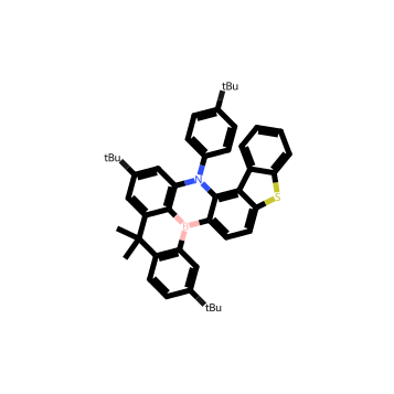 CC(C)(C)c1ccc(N2c3cc(C(C)(C)C)cc4c3B(c3cc(C(C)(C)C)ccc3C4(C)C)c3ccc4sc5ccccc5c4c32)cc1